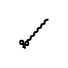 [CH]C(=O)OCCCCCCCCCCCC